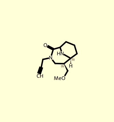 C#CCN1C[C@H](COC)[C@@H]2CCCC(N2)C1=O